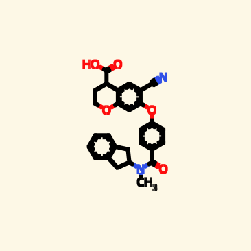 CN(C(=O)c1ccc(Oc2cc3c(cc2C#N)C(C(=O)O)CCO3)cc1)C1Cc2ccccc2C1